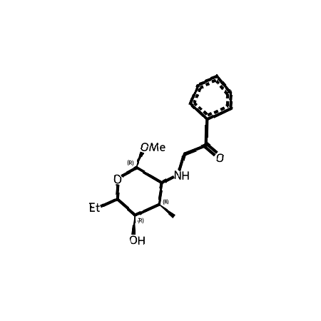 CCC1O[C@@H](OC)C(NCC(=O)c2ccccc2)[C@@H](C)[C@H]1O